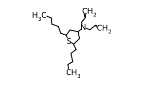 C=CCN(CC=C)C1CC(CCCCC)SC(CCCCC)C1